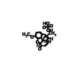 COc1ccc2c3c1O[C@H]1C(=O)C=C[C@H]4[C@@H](C2)N(C)CC[C@]314.O=S(=O)(O)O